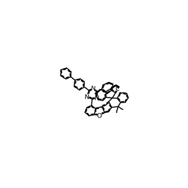 CC1(C)c2ccccc2C2(c3ccccc3-c3ccccc32)c2cc3c(cc21)oc1cccc(-c2nc(-c4ccccc4)nc(-c4ccc(-c5ccccc5)cc4)n2)c13